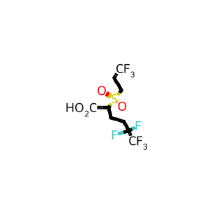 O=C(O)C(CCC(F)(F)C(F)(F)F)S(=O)(=O)CCC(F)(F)F